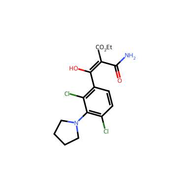 CCOC(=O)C(C(N)=O)=C(O)c1ccc(Cl)c(N2CCCC2)c1Cl